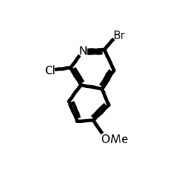 COc1ccc2c(Cl)nc(Br)cc2c1